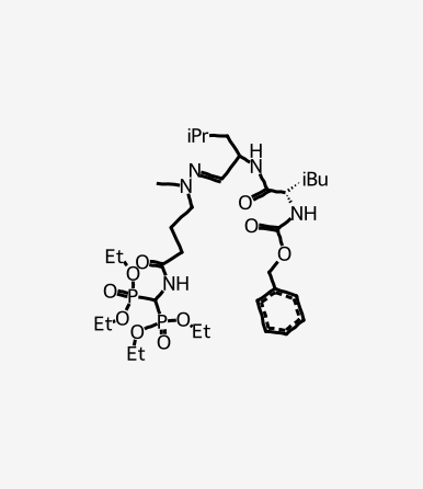 CCOP(=O)(OCC)C(NC(=O)CCCN(C)/N=C/C(CC(C)C)NC(=O)[C@@H](NC(=O)OCc1ccccc1)[C@@H](C)CC)P(=O)(OCC)OCC